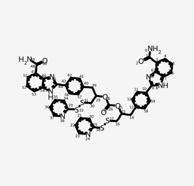 NC(=O)c1cccc2[nH]c(-c3ccc(CC(CSSc4ccccn4)OC(=O)OC(CSSc4ccccn4)Cc4ccc(-c5nc6c(C(N)=O)cccc6[nH]5)cc4)cc3)nc12